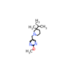 COc1ncc(CN2CCCC(C)(C(C)C)C2)cn1